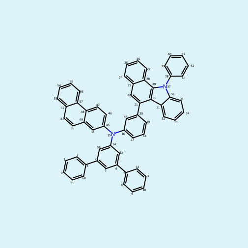 c1ccc(-c2cc(-c3ccccc3)cc(N(c3cccc(-c4cc5ccccc5c5c4c4ccccc4n5-c4ccccc4)c3)c3ccc4c(ccc5ccccc54)c3)c2)cc1